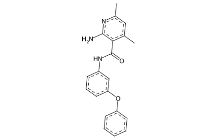 Cc1cc(C)c(C(=O)Nc2cccc(Oc3ccccc3)c2)c(N)n1